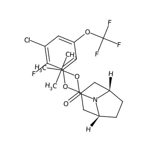 CC(C)(C)OC(=O)N1[C@@H]2CC[C@H]1CC(Oc1cc(OC(F)(F)F)cc(Cl)c1F)C2